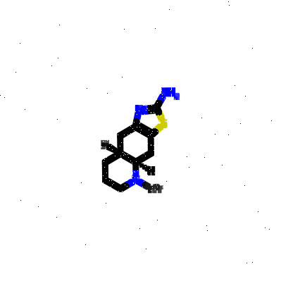 CCCN1CCC[C@@H]2Cc3nc(N)sc3C[C@H]21